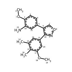 COc1ccc(-c2conc2-c2cc(C)c(C)c(OC)c2)cc1N